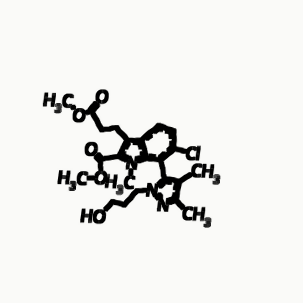 COC(=O)CCc1c(C(=O)OC)n(C)c2c(-c3c(C)c(C)nn3CCCO)c(Cl)ccc12